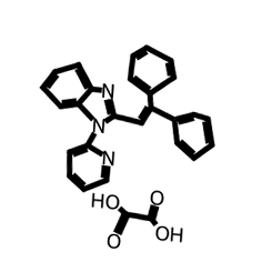 C(=C(c1ccccc1)c1ccccc1)c1nc2ccccc2n1-c1ccccn1.O=C(O)C(=O)O